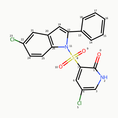 O=c1[nH]cc(Cl)cc1S(=O)(=O)n1c(-c2ccccc2)cc2cc(Cl)ccc21